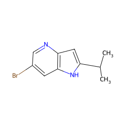 CC(C)c1cc2ncc(Br)cc2[nH]1